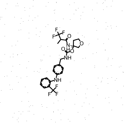 CC(C(=O)N[C@]1(OC(=O)NCc2ccc(Nc3ccccc3C(F)(F)F)cc2)CCOC1)C(F)(F)F